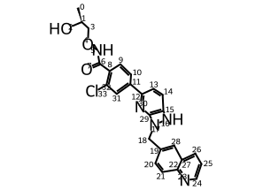 C[C@H](O)CONC(=O)c1ccc(-c2ccc3[nH]n(Cc4ccc5ncccc5c4)c3n2)cc1Cl